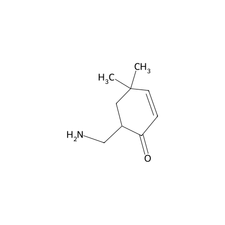 CC1(C)C=CC(=O)C(CN)C1